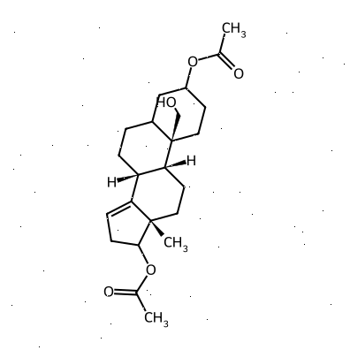 CC(=O)OC1CC[C@@]2(CO)C(CC[C@H]3C4=CCC(OC(C)=O)[C@@]4(C)CC[C@H]32)C1